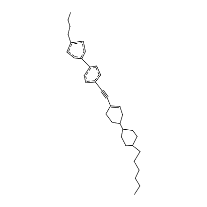 CCCCCCC1CCC(C2CC=C(C#Cc3ccc(-c4ccc(CCCC)cc4)cc3)CC2)CC1